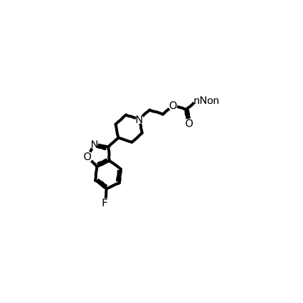 CCCCCCCCCC(=O)OCCN1CCC(c2noc3cc(F)ccc23)CC1